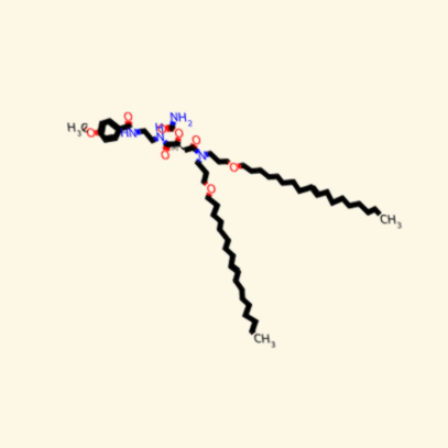 CCCCCCCCC=CCCCCCCCCOCCCN(CCCOCCCCCCCCC=CCCCCCCCC)C(=O)C[C@@H](OC(N)=O)C(=O)NCCNC(=O)c1ccc(OC)cc1